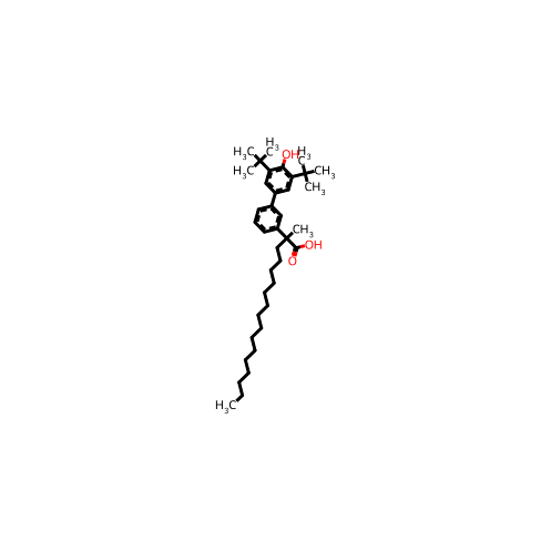 CCCCCCCCCCCCCCCC(C)(C(=O)O)c1cccc(-c2cc(C(C)(C)C)c(O)c(C(C)(C)C)c2)c1